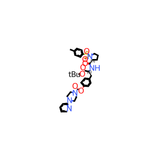 Cc1ccc(S(=O)(=O)N2CCC[C@H]2C(=O)N[C@@H](Cc2ccc(OC(=O)N3CCN(c4ccccn4)CC3)cc2)C(=O)OC(C)(C)C)cc1